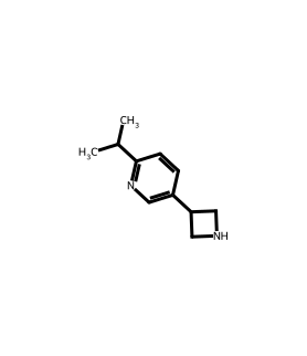 CC(C)c1ccc(C2CNC2)cn1